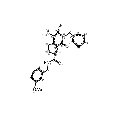 COc1cccc(CNC(=O)C2=Cn3c(c(C)c(=O)n(Cc4ccccc4)c3=O)CN2)c1